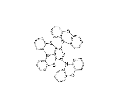 c1ccc2c(c1)Oc1ccccc1N2c1cc(N2c3ccccc3Oc3ccccc32)c2c3c1Sc1ccccc1B3c1ccccc1S2